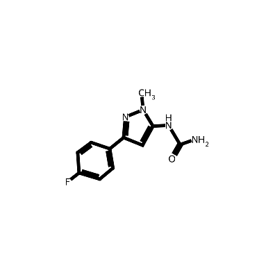 Cn1nc(-c2ccc(F)cc2)cc1NC(N)=O